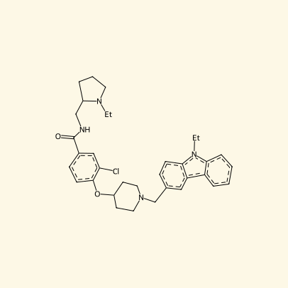 CCN1CCCC1CNC(=O)c1ccc(OC2CCN(Cc3ccc4c(c3)c3ccccc3n4CC)CC2)c(Cl)c1